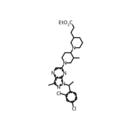 CCOC(=O)CCC1CCCN(C2CCN(c3cnc4c(C)nn(C(C)c5ccc(Cl)cc5Cl)c4n3)CC2C)C1